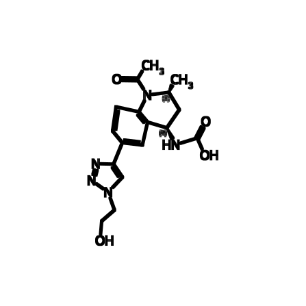 CC(=O)N1c2ccc(-c3cn(CCO)nn3)cc2[C@H](NC(=O)O)C[C@@H]1C